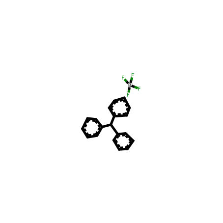 F[B-](F)(F)F.c1ccc(C(c2ccccc2)c2ccccc2)cc1